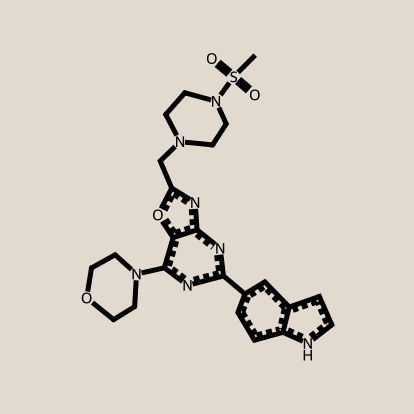 CS(=O)(=O)N1CCN(Cc2nc3nc(-c4ccc5[nH]ccc5c4)nc(N4CCOCC4)c3o2)CC1